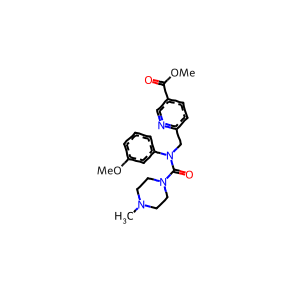 COC(=O)c1ccc(CN(C(=O)N2CCN(C)CC2)c2cccc(OC)c2)nc1